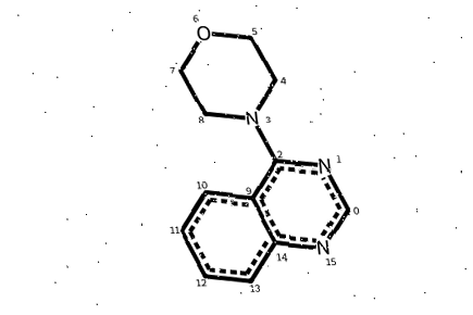 [c]1nc(N2CCOCC2)c2ccccc2n1